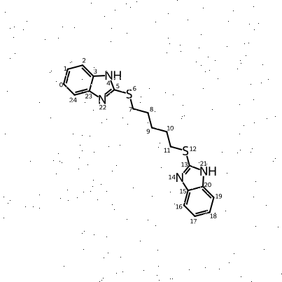 c1ccc2[nH]c(SCCCCCSc3nc4ccccc4[nH]3)nc2c1